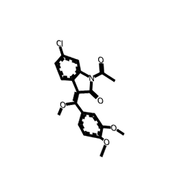 COC(=C1C(=O)N(C(C)=O)c2cc(Cl)ccc21)c1ccc(OC)c(OC)c1